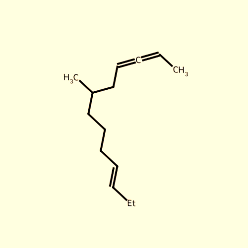 CC=C=CCC(C)CCCC=CCC